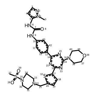 Cn1nccc1NC(=O)Nc1ccc(-c2nc(-c3ccc(CN4CCN(S(C)(=O)=O)CC4)s3)nc(N3CCOCC3)n2)cc1